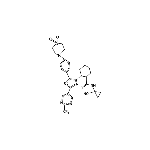 N#CC1(NC(=O)[C@@H]2CCCC[C@H]2c2nc(-c3cnc(C(F)(F)F)nc3)sc2-c2ccc(N3CCS(=O)(=O)CC3)cc2)CC1